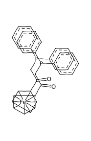 O=C(CP(c1ccccc1)c1ccccc1)[C]12[CH]3[CH]4[CH]5[CH]1[Fe]45321678[CH]2[CH]1[CH]6[C]7(C(=O)CP(c1ccccc1)c1ccccc1)[CH]28